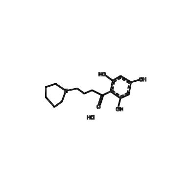 Cl.O=C(CCCN1CCCCC1)c1c(O)cc(O)cc1O